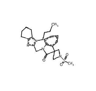 CCCCn1c(CN2C(=O)C3(CN(S(C)(=O)=O)C3)c3ccccc32)nc2c1CCCC2